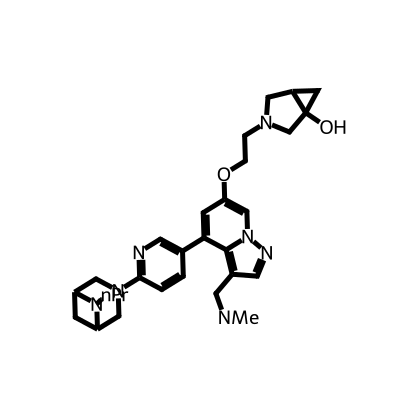 CCCN1C2CC1CN(c1ccc(-c3cc(OCCN4CC5CC5(O)C4)cn4ncc(CNC)c34)cn1)C2